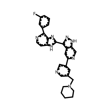 Fc1cccc(-c2nccc3[nH]c(-c4n[nH]c5cnc(-c6cncc(CN7CCCCC7)c6)cc45)nc23)c1